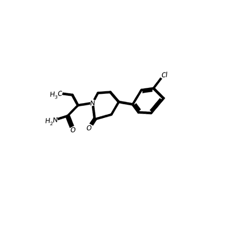 CCC(C(N)=O)N1CCC(c2cccc(Cl)c2)CC1=O